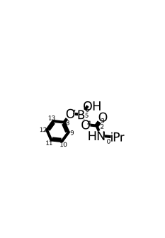 CC(C)NC(=O)OB(O)Oc1ccccc1